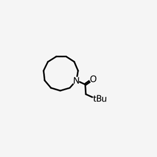 CC(C)(C)CC(=O)N1CCCCCCCCCC1